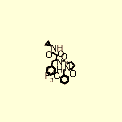 O=C(NC1CC1)C(=O)C(Cc1ccccc1)NC(=O)[C@@H]1CCC(=O)N1Cc1ccccc1C(F)(F)F